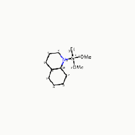 CC[Si](OC)(OC)N1CCCC2CCCCC21